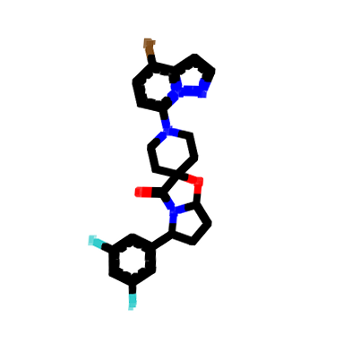 O=C1N2C(CCC2c2cc(F)cc(F)c2)OC12CCN(c1ccc(Br)c3ccnn13)CC2